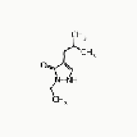 CCn1[nH]cc(CC(C)C)c1=O